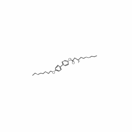 CCCCCCCCOc1ccc(-c2ccc(OC(=O)CC(F)CCCCCCC)cc2)cc1